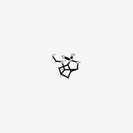 O=S1(=O)OC2C3CC(CC31)C2OCI